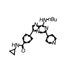 CCCCNc1nc(-c2ccncc2)cn2c(-c3ccc(C(=O)NC4CC4)cc3)cnc12